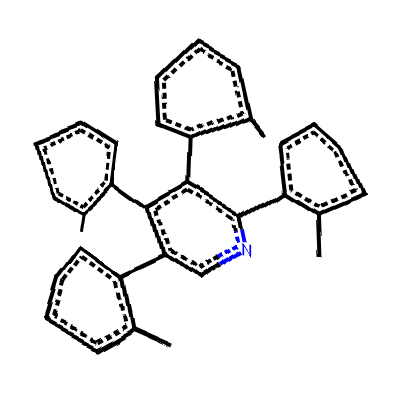 Cc1ccccc1-c1cnc(-c2ccccc2C)c(-c2ccccc2C)c1-c1ccccc1C